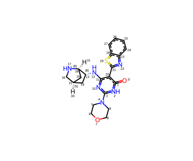 O=c1[nH]c(N2CCOCC2)nc(N[C@@H]2C[C@H]3CN[C@@H]2C3)c1-c1nc2ccccc2s1